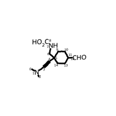 CN(C)C#CC1(CNC(=O)O)CCC(C=O)CC1